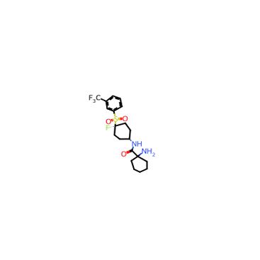 NC1(C(=O)N[C@H]2CC[C@](F)(S(=O)(=O)c3cccc(C(F)(F)F)c3)CC2)CCCCC1